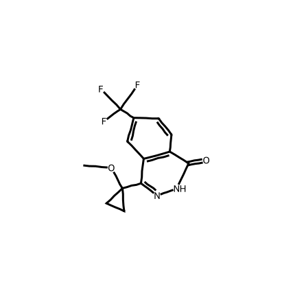 COC1(c2n[nH]c(=O)c3ccc(C(F)(F)F)cc23)CC1